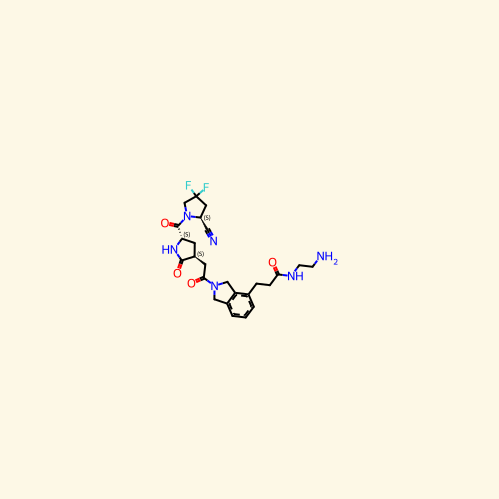 N#C[C@@H]1CC(F)(F)CN1C(=O)[C@@H]1C[C@@H](CC(=O)N2Cc3cccc(CCC(=O)NCCN)c3C2)C(=O)N1